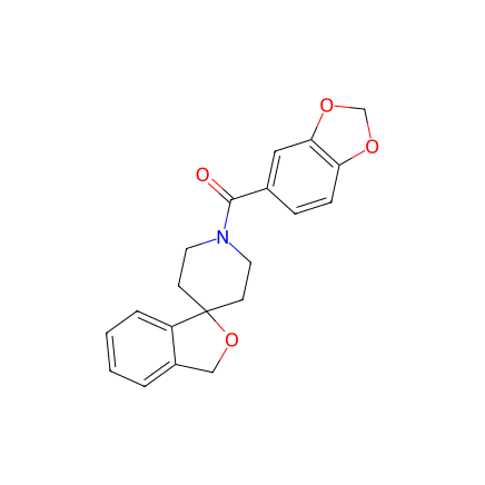 O=C(c1ccc2c(c1)OCO2)N1CCC2(CC1)OCc1ccccc12